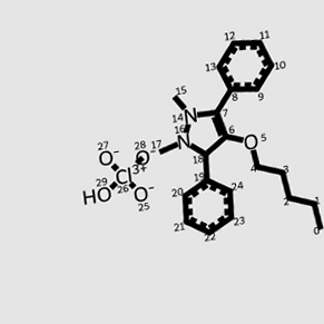 CCCCCOC1=C(c2ccccc2)N(C)N(C)C1c1ccccc1.[O-][Cl+3]([O-])([O-])O